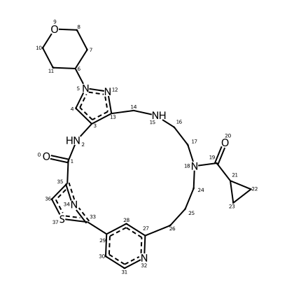 O=C1Nc2cn(C3CCOCC3)nc2CNCCN(C(=O)C2CC2)CCCc2cc(ccn2)-c2nc1cs2